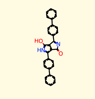 O=C1N=C(c2ccc(-c3ccccc3)cc2)c2c(O)[nH]c(-c3ccc(-c4ccccc4)cc3)c21